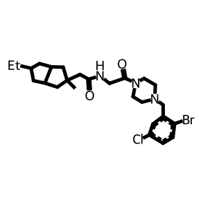 CCC1CC2CC(C)(CC(=O)NCC(=O)N3CCN(Cc4cc(Cl)ccc4Br)CC3)CC2C1